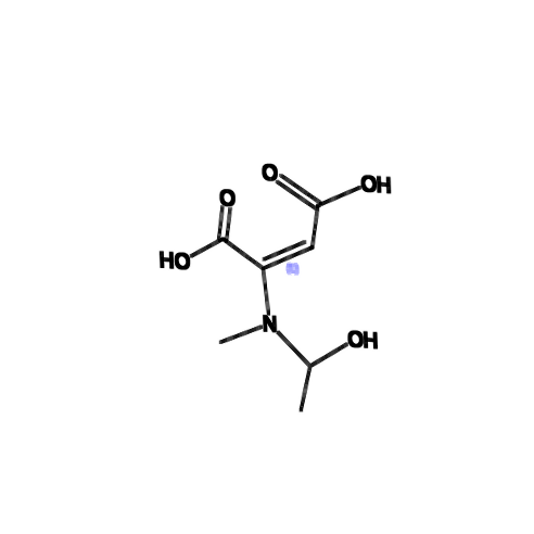 CC(O)N(C)/C(=C/C(=O)O)C(=O)O